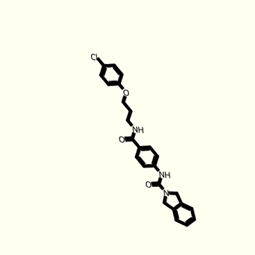 O=C(NCCCOc1ccc(Cl)cc1)c1ccc(NC(=O)N2Cc3ccccc3C2)cc1